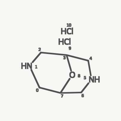 C1NCC2CNCC1O2.Cl.Cl